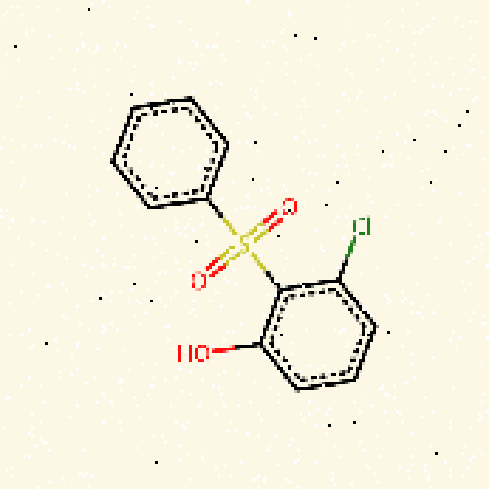 O=S(=O)(c1ccccc1)c1c(O)cccc1Cl